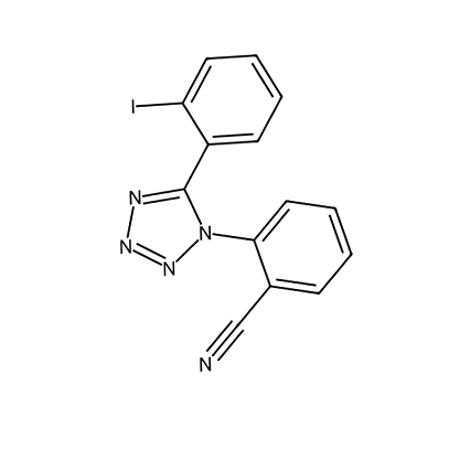 N#Cc1ccccc1-n1nnnc1-c1ccccc1I